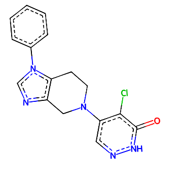 O=c1[nH]ncc(N2CCc3c(ncn3-c3ccccc3)C2)c1Cl